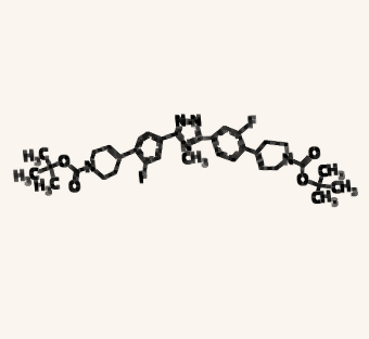 Cn1c(-c2ccc(C3=CCN(C(=O)OC(C)(C)C)CC3)c(F)c2)nnc1-c1ccc(C2=CCN(C(=O)OC(C)(C)C)CC2)c(F)c1